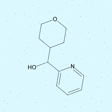 OC(c1ccccn1)C1CCOCC1